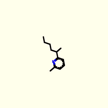 CCCCC(C)c1cccc(C)n1